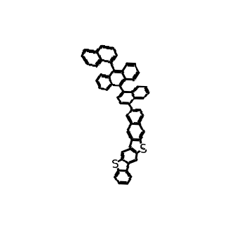 c1ccc2c(-c3c4ccccc4c(-c4ccc(-c5ccc6cc7sc8cc9c(cc8c7cc6c5)sc5ccccc59)c5ccccc45)c4ccccc34)cccc2c1